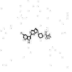 CN(C)C(O)N[C@@H]1CCC[C@H](n2ccc3cnc(-c4c[nH]c5ncc(F)cc45)nc32)C1